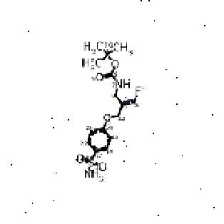 CC(C)(C)OC(=O)NC/C(=C\F)COc1ccc(S(N)(=O)=O)cc1